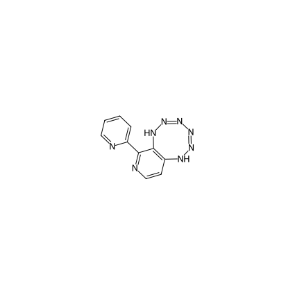 c1ccc(-c2nccc3[nH]nnnn[nH]c23)nc1